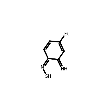 CCC1=CC(=N)/C(=N\S)C=C1